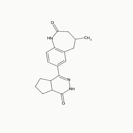 CC1CC(=O)Nc2ccc(C3=NNC(=O)C4CCCC34)cc2C1